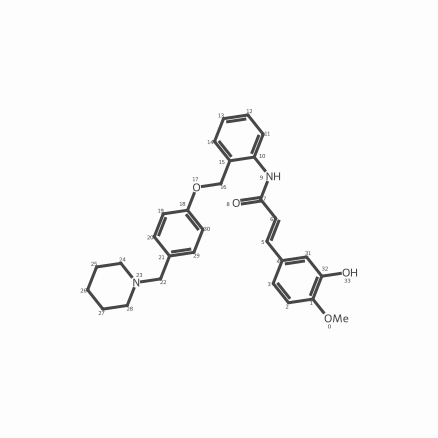 COc1ccc(C=CC(=O)Nc2ccccc2COc2ccc(CN3CCCCC3)cc2)cc1O